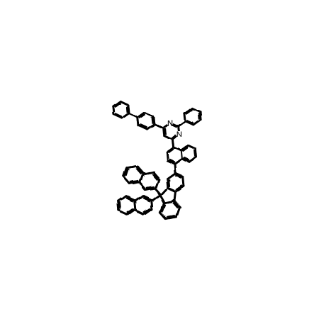 c1ccc(-c2ccc(-c3cc(-c4ccc(-c5ccc6c(c5)C(c5ccc7ccccc7c5)(c5ccc7ccccc7c5)c5ccccc5-6)c5ccccc45)nc(-c4ccccc4)n3)cc2)cc1